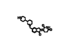 O=C1CCN(N2Cc3cc(CN4CCCC(C5CCNCC5)C4)ccc3C2=O)C(=O)N1